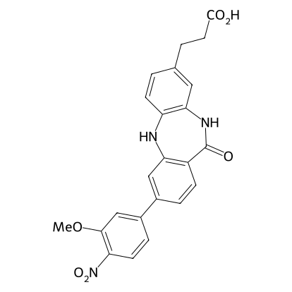 COc1cc(-c2ccc3c(c2)Nc2ccc(CCC(=O)O)cc2NC3=O)ccc1[N+](=O)[O-]